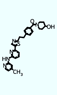 Cc1ccnc(Nc2cccc(-c3cnc(CCc4ccc(C(=O)N5CCC(O)CC5)cc4)s3)n2)c1